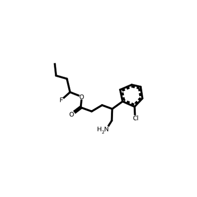 CCCC(F)OC(=O)CCC(CN)c1ccccc1Cl